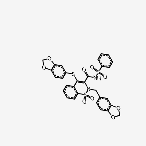 O=C(NS(=O)(=O)c1ccccc1)C1=C(Sc2ccc3c(c2)OCO3)c2ccccc2S(=O)(=O)N1Cc1ccc2c(c1)OCO2